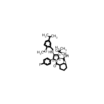 COc1ccc(C(C)C)cc1CN[C@H]1[C@H](C(C)(C)C)[C@@H](C(=O)O)N(C(=O)C2CCCCC2)[C@H]1c1ccc(F)cc1